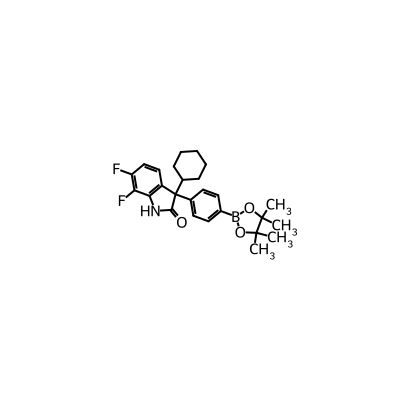 CC1(C)OB(c2ccc(C3(C4CCCCC4)C(=O)Nc4c3ccc(F)c4F)cc2)OC1(C)C